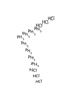 Cl.Cl.Cl.Cl.Cl.Cl.P.P.P.P.P.P.P.P